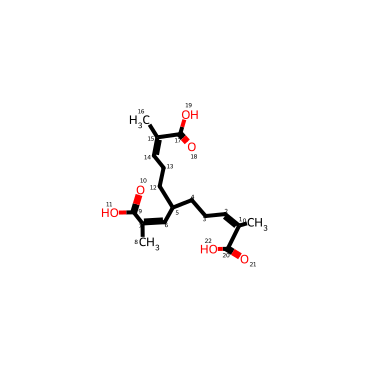 CC(=CCCC(C=C(C)C(=O)O)CCC=C(C)C(=O)O)C(=O)O